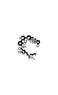 COc1nc(-c2ccnc(-c3cccc(NC(=O)c4cc(CCN(C)CCCF)n[nH]4)c3Cl)c2Cl)ccc1CNC[C@@H]1CCC(=O)N1